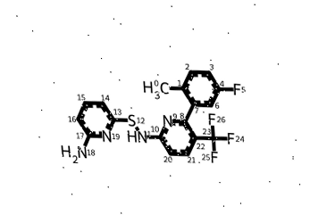 Cc1ccc(F)cc1-c1nc(NSc2cccc(N)n2)ccc1C(F)(F)F